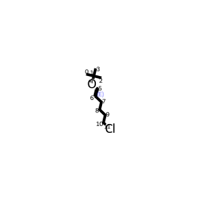 CC(C)(C)O/C=C/CCCCCl